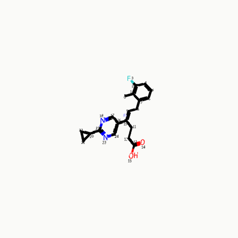 Cc1c(F)cccc1C/C=C(\CCC(=O)O)c1cnc(C2CC2)nc1